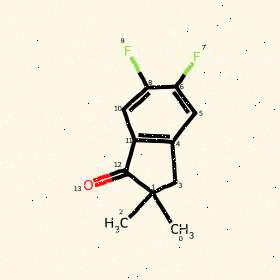 CC1(C)Cc2cc(F)c(F)cc2C1=O